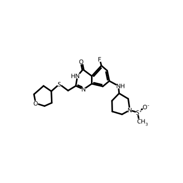 C[S+]([O-])N1CCCC(Nc2cc(F)c3c(=O)[nH]c(CSC4CCOCC4)nc3c2)C1